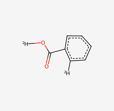 [2H]OC(=O)c1ccccc1[2H]